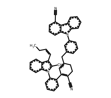 CC/C=C\c1c(C)n(-c2ccccc2C2=C(C#N)CCC(Cc3cccc(-n4c5ccccc5c5c(C#N)cccc54)c3)=C2)c2ccccc12